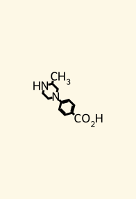 CC1CN(c2ccc(C(=O)O)cc2)CCN1